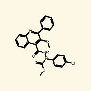 COC(=O)N(NC(=O)c1c(OC)c(-c2ccccc2)nc2ccccc12)c1ccc(Cl)cc1